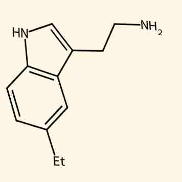 [CH2]Cc1ccc2[nH]cc(CCN)c2c1